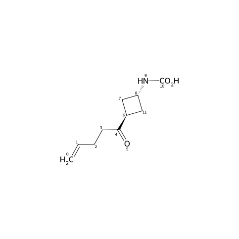 C=CCCC(=O)[C@H]1C[C@H](NC(=O)O)C1